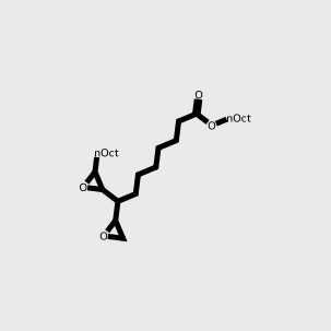 CCCCCCCCOC(=O)CCCCCCC(C1CO1)C1OC1CCCCCCCC